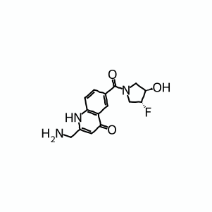 NCc1cc(=O)c2cc(C(=O)N3C[C@@H](O)[C@H](F)C3)ccc2[nH]1